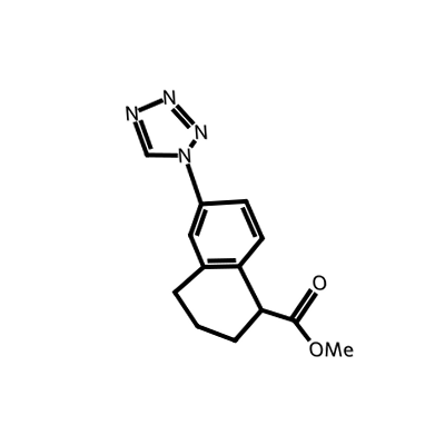 COC(=O)C1CCCc2cc(-n3cnnn3)ccc21